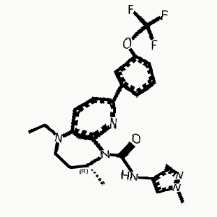 CCN1CC[C@@H](C)N(C(=O)Nc2cnn(C)c2)c2nc(-c3cccc(OC(F)(F)F)c3)ccc21